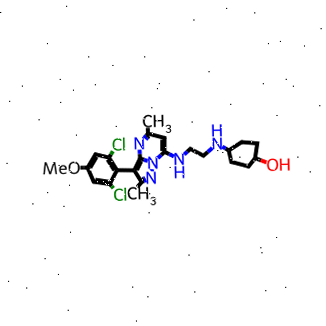 COc1cc(Cl)c(-c2c(C)nn3c(NCCNC4CCC(O)CC4)cc(C)nc23)c(Cl)c1